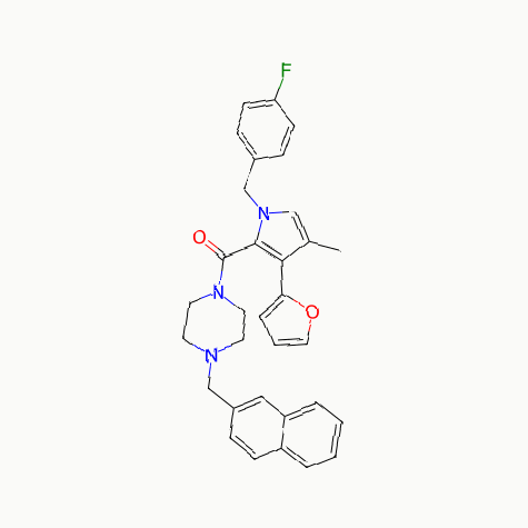 Cc1cn(Cc2ccc(F)cc2)c(C(=O)N2CCN(Cc3ccc4ccccc4c3)CC2)c1-c1ccco1